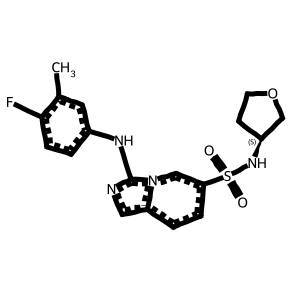 Cc1cc(Nc2ncc3ccc(S(=O)(=O)N[C@H]4CCOC4)cn23)ccc1F